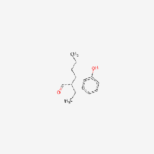 CCCCC(C=O)CC.Oc1ccccc1